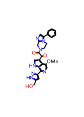 COc1cnc(-c2cc(CO)[nH]n2)c2[nH]cc(C(=O)C(=O)N3CCn4c(-c5ccccc5)cnc4C3)c12